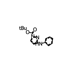 CC(C)(C)OC(=O)n1ccc(Nc2ccccc2)n1